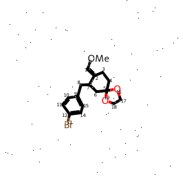 COC=C1CCC2(CC1Cc1ccc(Br)cc1)OCCO2